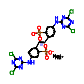 O=S(=O)([O-])c1cc(Nc2nc(Cl)nc(Cl)n2)ccc1/C=C/c1ccc(Nc2nc(Cl)nc(Cl)n2)cc1S(=O)(=O)[O-].[Na+].[Na+]